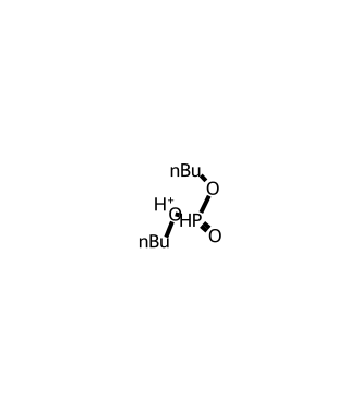 CCCCO[PH](=O)OCCCC.[H+]